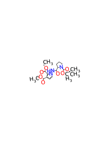 CCOC(=O)c1c(C(=O)OC)ccn1NC(=O)C1CCCN1C(=O)OC(C)(C)C